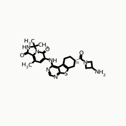 Cc1cc(Nc2ncnc3sc4c(c23)CC[C@H](C(=O)N2CC(N)C2)C4)c(=O)n2c1C(=O)NC2(C)C